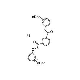 CCCCCCCCCC[n+]1cccc(OSC(=O)c2cccc(C(=O)Sc3ccc[n+](CCCCCCCCCC)c3)c2)c1.[I-].[I-]